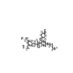 CN(C)CCNc1ncc(N(C)C(=O)C(C)(C)c2cc(C(F)(F)F)cc(C(F)(F)F)c2)c(Oc2ccc(F)cc2)n1